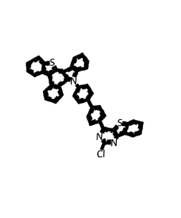 Clc1nc(-c2ccc(-c3ccc(-n4c5ccccc5c5c6sc7ccccc7c6c6ccccc6c54)cc3)cc2)c2sc3ccccc3c2n1